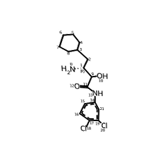 N[C@H](CC1CCCCC1)C(O)C(=O)Nc1ccc(Cl)c(Cl)c1